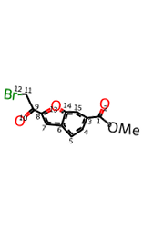 COC(=O)c1ccc2cc(C(=O)CBr)oc2c1